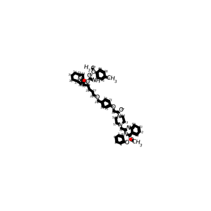 CCOc1ccccc1-n1c(CN2CCN(C(=O)COc3ccc(COCCCCCCN4C5CCCC4CC(OC(=O)Nc4cc(C)ccc4OC)C5)cc3)CC2)nc2ccccc2c1=O